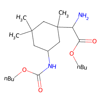 CCCCOC(=O)NC1CC(C)(C)CC(C)(C(N)C(=O)OCCCC)C1